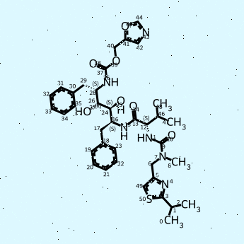 CC(C)c1nc(CN(C)C(=O)N[C@H](C(=O)N[C@@H](Cc2ccccc2)[C@H](O)[C@H](O)[C@H](Cc2ccccc2)NC(=O)OCc2cnco2)C(C)C)cs1